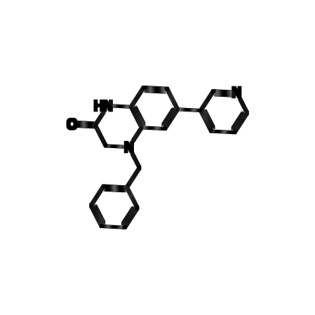 O=C1CN(Cc2ccccc2)c2cc(-c3cccnc3)ccc2N1